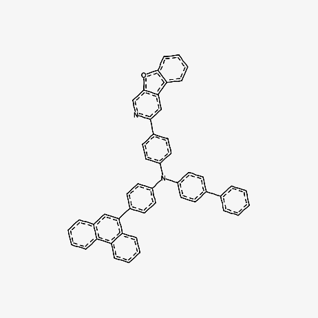 c1ccc(-c2ccc(N(c3ccc(-c4cc5c(cn4)oc4ccccc45)cc3)c3ccc(-c4cc5ccccc5c5ccccc45)cc3)cc2)cc1